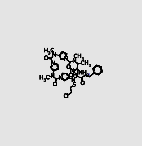 CC(C(N)=NO)N(C)C(=O)n1ccc(N(C)C(=O)n2ccc(N(C)C(=O)n3ccc(N(SCCCl)C(=O)C(=O)/C=C/c4ccccc4)c3)c2)c1